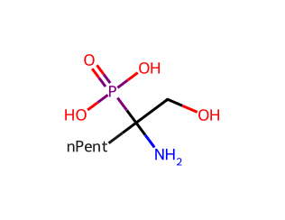 CCCCCC(N)(CO)P(=O)(O)O